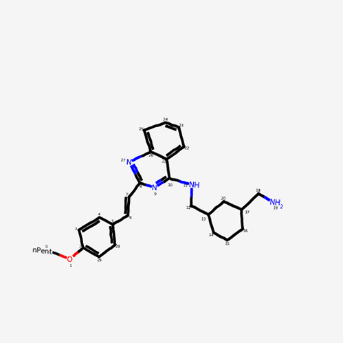 CCCCCOc1ccc(/C=C/c2nc(NCC3CCCC(CN)C3)c3ccccc3n2)cc1